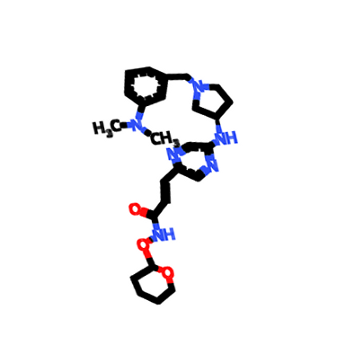 CN(C)c1cccc(CN2CC[C@@H](Nc3cnc(/C=C/C(=O)NOC4CCCCO4)cn3)C2)c1